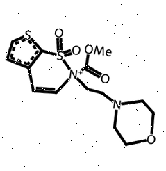 COC(=O)[N+]1(CCN2CCOCC2)C=Cc2ccsc2S1(=O)=O